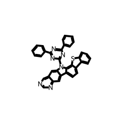 c1ccc(-c2nc(-c3ccccc3)nc(-n3c4cc5cncnc5cc4c4ccc5c6ccccc6sc5c43)n2)cc1